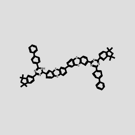 CC1(C)CC(C)(C)c2cc(C3=NC(c4ccc5c(c4)Sc4cc(-c6ccc7c(c6)Sc6cc(-c8nc(-c9ccc(-c%10ccccc%10)cc9)nc(-c9ccc%10c(c9)C(C)(C)CC%10(C)C)n8)ccc6S7)ccc4S5)NC(c4ccc(-c5ccccc5)cc4)=N3)ccc21